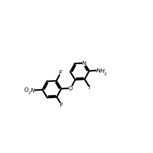 Nc1nccc(Oc2c(F)cc([N+](=O)[O-])cc2F)c1I